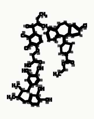 C=C(CC)C(=O)c1ccc(OCC(=O)O)c(Cl)c1Cl.CCOC(=O)N1CCC(=C2c3ccc(Cl)cc3CCc3cccnc32)CC1.C[C@H](Cc1ccc(O)c(O)c1)[C@@H](C)Cc1ccc(O)c(O)c1